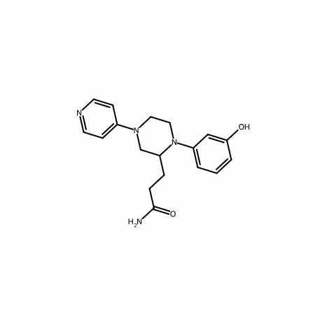 NC(=O)CCC1CN(c2ccncc2)CCN1c1cccc(O)c1